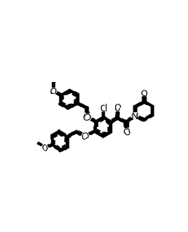 COc1ccc(COc2ccc(C(=O)C(=O)N3CCCC(=O)C3)c(Cl)c2OCc2ccc(OC)cc2)cc1